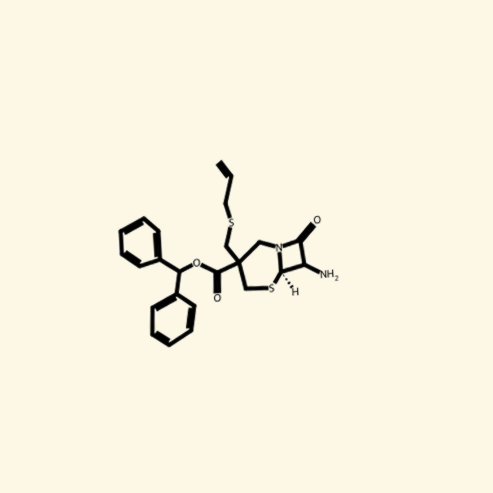 C=CCSCC1(C(=O)OC(c2ccccc2)c2ccccc2)CS[C@@H]2C(N)C(=O)N2C1